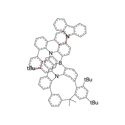 CC(C)(C)c1cc2c3c(c1)N(c1c(-c4ccccc4)cccc1-c1ccccc1)c1cc(-n4c5ccccc5c5ccccc54)ccc1B3c1ccc3cc1N2c1c(-c2ccccc2)cccc1-c1cccc(c1)C(C)(C)c1cc(C(C)(C)C)cc(C(C)(C)C)c1-3